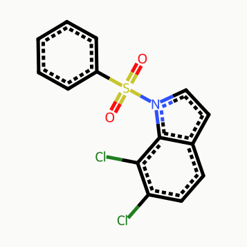 O=S(=O)(c1ccccc1)n1ccc2ccc(Cl)c(Cl)c21